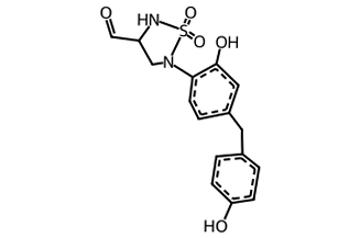 O=CC1CN(c2ccc(Cc3ccc(O)cc3)cc2O)S(=O)(=O)N1